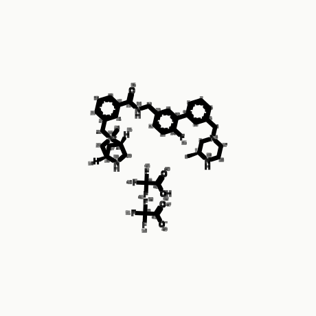 C[C@H]1CN(Cc2cccc(-c3cc(CNC(=O)c4cccc(C[N+]5(C)C[C@@H]6C[C@H]5CN6)c4)ccc3F)c2)CCN1.O=C(O)C(F)(F)F.O=C([O-])C(F)(F)F